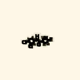 O=C(Nc1ccc(Cl)c(Cl)c1)c1ccc(F)nc1